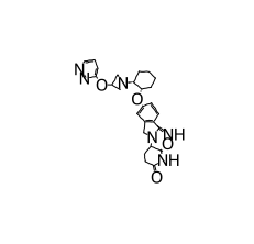 N=C1c2ccc(O[C@H]3CCCC[C@@H]3N3CC(Oc4cccnn4)C3)cc2CN1C1CCC(=O)NC1=O